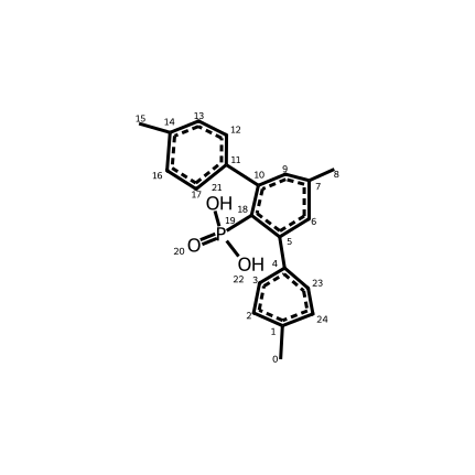 Cc1ccc(-c2cc(C)cc(-c3ccc(C)cc3)c2P(=O)(O)O)cc1